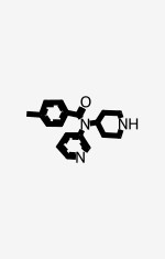 Cc1ccc(C(=O)N(c2cccnc2)C2CCNCC2)cc1